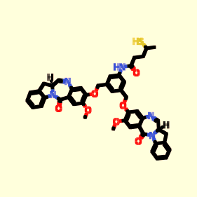 COc1cc2c(cc1OCc1cc(COc3cc4c(cc3OC)C(=O)N3c5ccccc5C[C@H]3C=N4)cc(NC(=O)CCC(C)S)c1)N=C[C@@H]1Cc3ccccc3N1C2=O